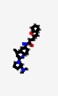 Cc1cc(N2CCCC(N(C)C)C2)nc2ccc(NC(=O)/C=C/c3cc4ccccc4o3)cc12